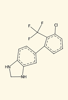 FC(F)(F)c1c(Cl)cccc1-c1ccc2c(c1)NCN2